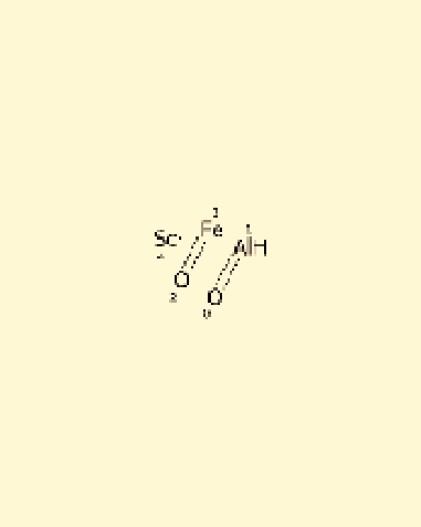 [O]=[AlH].[O]=[Fe].[Sc]